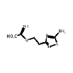 N=C(OCCc1nsc(N)n1)C(=O)O